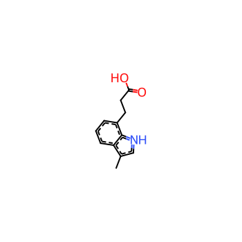 Cc1c[nH]c2c(CCC(=O)O)cccc12